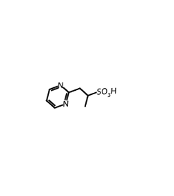 CC(Cc1ncccn1)S(=O)(=O)O